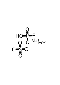 O=P([O-])(O)F.O=S(=O)([O-])[O-].[Fe+2].[Na+]